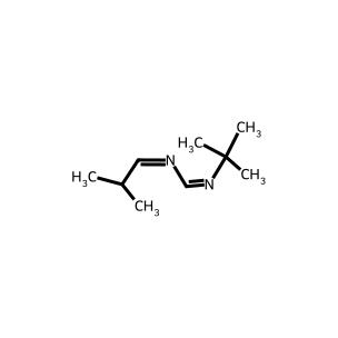 CC(C)/C=N\C=N/C(C)(C)C